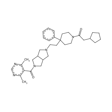 Cc1ncnc(C)c1C(=O)N1CC2CN(CCC3(c4ccccc4)CCN(C(=O)CC4CCCC4)CC3)CC2C1